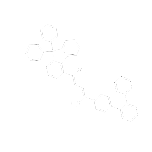 N/C(=C\C=C(/N)c1cccc2c1-c1ccccc1C2(c1ccccc1)c1ccccc1)c1ccc(-c2cccnc2-c2ccccc2)cc1